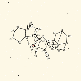 CC1(OC(=O)COC23CC4CC(C2)C(OC(=O)C(F)(F)SOOO)C(C4)C3)CCCCC1